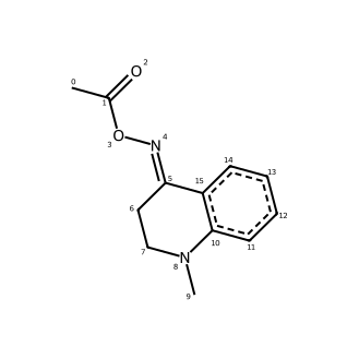 CC(=O)O/N=C1\CCN(C)c2ccccc21